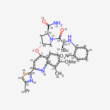 COc1ccc2c(O[C@@H]3C[C@@H](C(N)=O)N(C(=O)[C@@H](Nc4ccccc4[N+](=O)[O-])C(C)(C)C)C3)cc(-c3nc(C(C)C)cs3)nc2c1C